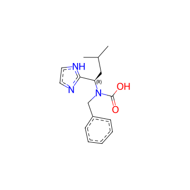 CC(C)C[C@H](c1ncc[nH]1)N(Cc1ccccc1)C(=O)O